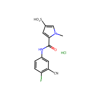 Cl.Cn1cc(S(=O)(=O)O)cc1C(=O)Nc1ccc(F)c(C#N)c1